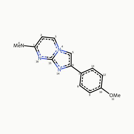 CNc1ccn2cc(-c3ccc(OC)cc3)nc2n1